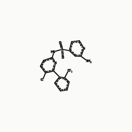 Nc1cc(S(=O)(=O)Nc2ccc(Cl)c(-c3ccccc3C(F)(F)F)n2)ccn1